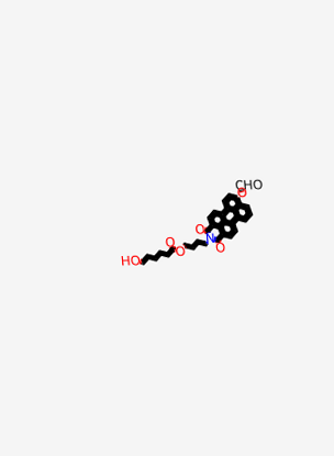 O=COc1ccc2c3ccc4c5c(ccc(c6cccc1c62)c53)C(=O)N(CCCCOC(=O)CCCCCO)C4=O